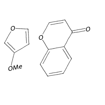 COc1ccoc1.O=c1ccoc2ccccc12